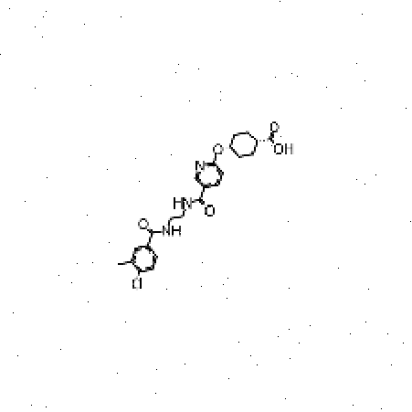 Cc1cc(C(=O)NCCNC(=O)c2ccc(O[C@H]3CC[C@@H](C(=O)O)CC3)nc2)ccc1Cl